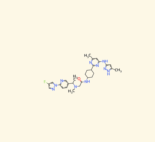 Cc1cc(Nc2cc(C)[nH]n2)nc(C2CCC(NC(=O)CN(C)C(C)c3ccc(-n4cc(F)cn4)nc3)CC2)n1